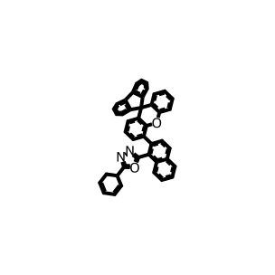 C1=CCC(c2nnc(-c3c(-c4cccc5c4Oc4ccccc4C54c5ccccc5-c5ccccc54)ccc4ccccc34)o2)C=C1